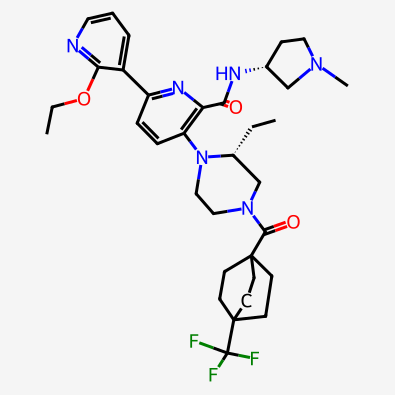 CCOc1ncccc1-c1ccc(N2CCN(C(=O)C34CCC(C(F)(F)F)(CC3)CC4)C[C@H]2CC)c(C(=O)N[C@@H]2CCN(C)C2)n1